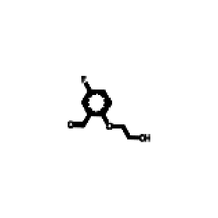 O=Cc1cc(F)ccc1OCCO